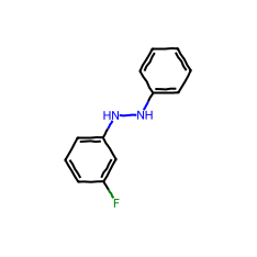 Fc1cccc(NNc2ccccc2)c1